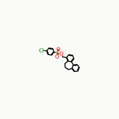 O=S(=O)(OCc1cccc2c1CCCc1ccccc1-2)c1ccc(Cl)cc1